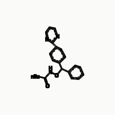 CCCCC(=O)NOC(c1ccccc1)c1ccc(-c2ncccn2)cc1